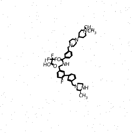 C[C@H]1CN(Cc2cccc(-c3cc(CNC(=O)c4cccc(CN5CCN(C6CC[N+](C)(C)CC6)CC5)c4)ccc3F)c2)CCN1.O=C(O)C(F)(F)F.[I-]